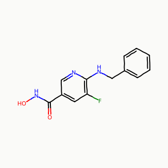 O=C(NO)c1cnc(NCc2ccccc2)c(F)c1